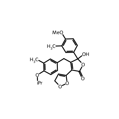 COc1ccc(C2(O)OC(=O)C(C3=CCOO3)=C2Cc2ccc(OC(C)C)c(C)c2)cc1C